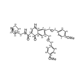 COc1ccc(COCc2cc3[nH]cc(C(=O)NCC45CCN(CC4)CC5)c(=O)c3cc2COCc2ccc(OC)cc2)cc1